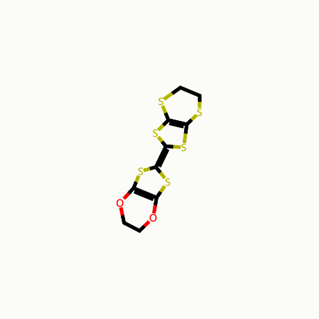 C1COC2=C(O1)SC(=C1SC3=C(SCCS3)S1)S2